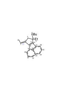 C/C=C1\CC(CC)(CCCC)[N+]2=C1c1cccc3cccc2c13